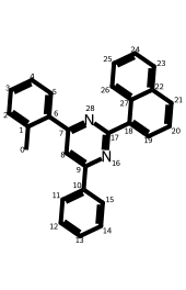 Cc1ccccc1-c1cc(-c2ccccc2)nc(-c2cccc3ccccc23)n1